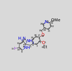 CCOc1cc(CC2(N)NC=C(I)C=C2N)ccc1OCc1ccc(OC)nc1